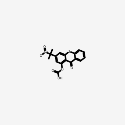 CC(C)(c1cc(OC(=O)O)c2c(=O)c3ccccc3sc2c1)[N+](=O)[O-]